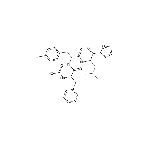 CC(C)CC(NC(=O)C(Cc1ccc(Cl)cc1)NC(=O)C(Cc1ccccc1)NC(=O)O)C(=O)c1ccco1